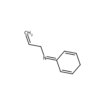 C=CCN=C1C=CCC=C1